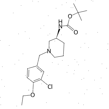 CCOc1ccc(CN2CCC[C@H](NC(=O)OC(C)(C)C)C2)cc1Cl